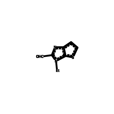 CCn1c(C=O)nc2ccsc21